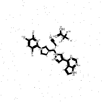 N#CC[C@@H]([C@H]1CCN(c2nc(F)c(F)cc2F)C1)n1cc(-c2ncnc3[nH]ccc23)cn1.O=C(O)C(F)(F)F